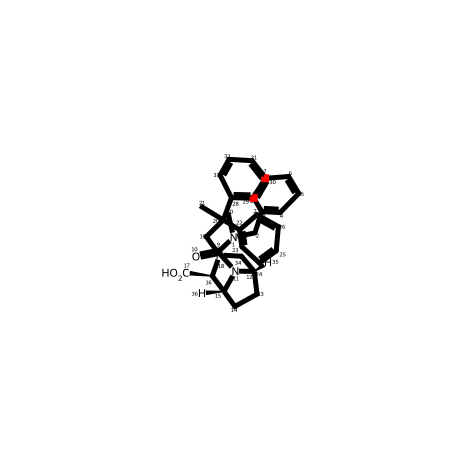 CN(Cc1ccccc1)C(=O)N1[C@H]2CC[C@@H]1[C@@H](C(=O)O)N(CC(C)(c1ccccc1)c1ccccc1)C2